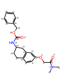 CN(C)C(=O)COc1ccc2c(c1)CC(NC(=O)OCc1ccccc1)CC2